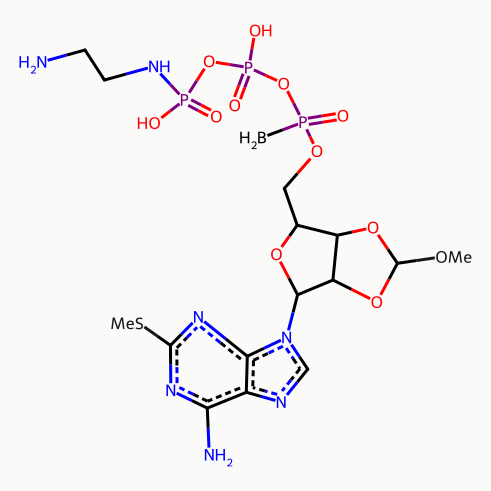 BP(=O)(OCC1OC(n2cnc3c(N)nc(SC)nc32)C2OC(OC)OC12)OP(=O)(O)OP(=O)(O)NCCN